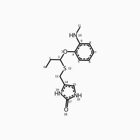 CCC(Oc1ccccc1NC)SCc1c[nH]c(=O)[nH]1